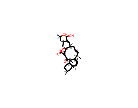 C[C@H]1CC[C@@H]2[C@H](C=C[C@H]3[C@H](C)/C=C/C[C@]4(C)C=C(CO)[C@H](C[C@@H](C)O)C[C@]45OC(=O)C(=C5O)C(=O)[C@@]23C)C1